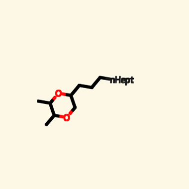 CCCCCCCCCCC1COC(C)C(C)O1